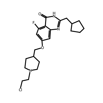 O=c1[nH]c(CC2CCCC2)nc2cc(OCC3CCN(CCCl)CC3)cc(F)c12